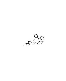 CC(C)(C)c1ccc(C(O)CCCN2CCCCC2OC(c2ccccc2)c2ccccc2)cc1